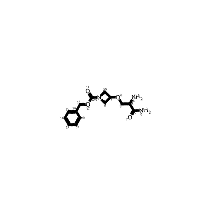 NC(=O)C(N)COC1CN(C(=O)OCc2ccccc2)C1